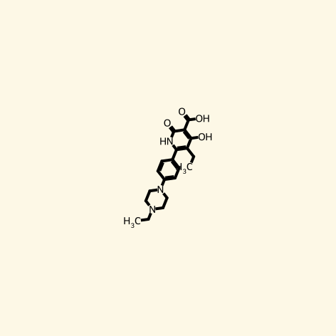 CCc1c(-c2ccc(N3CCN(CC)CC3)cc2)[nH]c(=O)c(C(=O)O)c1O